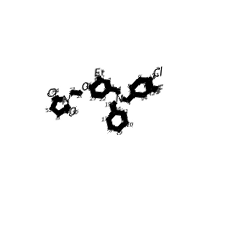 CCc1cc(CN(Cc2ccc(Cl)c(F)c2)CC2CCCCC2)ccc1OCCN1C(=O)CCC1=O